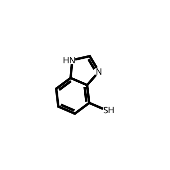 Sc1cccc2[nH]cnc12